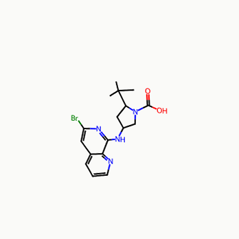 CC(C)(C)C1CC(Nc2nc(Br)cc3cccnc23)CN1C(=O)O